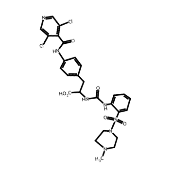 CN1CCN(S(=O)(=O)c2ccccc2NC(=O)NC(Cc2ccc(NC(=O)c3c(Cl)cncc3Cl)cc2)C(=O)O)CC1